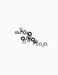 CCOC(=O)c1oc2ccc(S(=O)(=O)N(Cc3ccccc3Cl)Cc3ccccc3N3CCN(C(=O)C(C)(C)C)CC3)cc2c1C